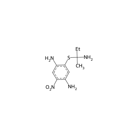 CCC(C)(N)Sc1cc(N)c([N+](=O)[O-])cc1N